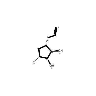 C=CC[C@H]1C[C@@H](C)[C@H](O)[C@@H]1O